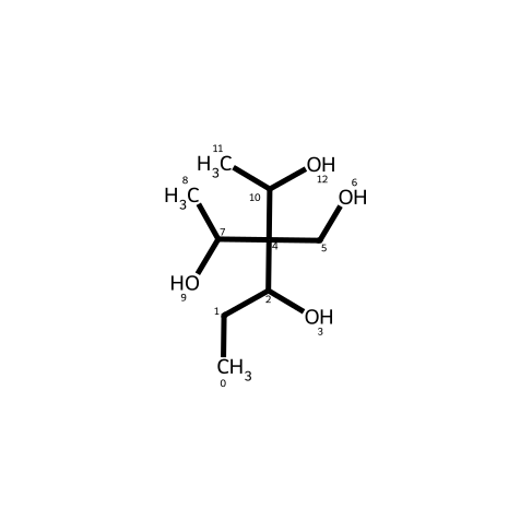 CCC(O)C(CO)(C(C)O)C(C)O